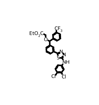 CCOC(=O)COC(c1cccc(-c2nnc(Nc3ccc(Cl)c(Cl)c3)s2)c1)c1cccc(C(F)(F)F)c1